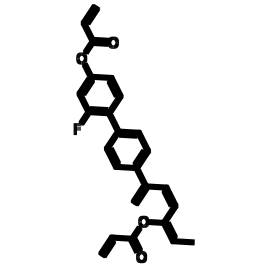 C=CC(=O)OC(/C=C\C(=C)c1ccc(-c2ccc(OC(=O)C=C)cc2F)cc1)=C/C